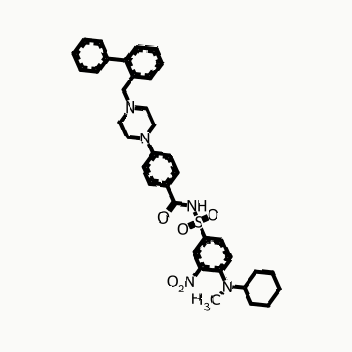 CN(c1ccc(S(=O)(=O)NC(=O)c2ccc(N3CCN(Cc4ccccc4-c4ccccc4)CC3)cc2)cc1[N+](=O)[O-])C1CCCCC1